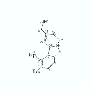 CCC1=C(O)C2C(C=C1)CN1CCC(CC(C)C)=CC21